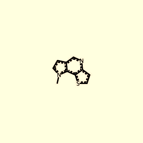 Cn1ccc2cnc3ccsc3c21